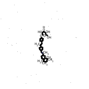 C=C(Cc1ccc(OC2OC(CO)C(O)C(O)C2O)cc1)c1ccc(/C=C(\C)c2ccc3c(c2)C(C)(C)CCC3(C)C)cc1